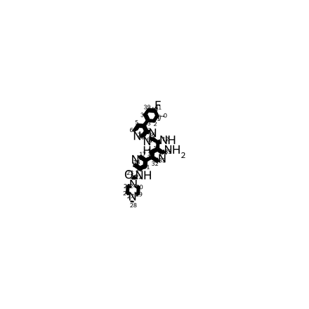 C[C@@H]1CC(c2ccnc3[nH]c(C(=N)c4cc(-c5cncc(NC(=O)N6CCN(C)CC6)c5)cnc4N)nc23)=CC=C1F